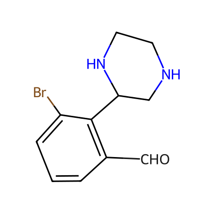 O=Cc1cccc(Br)c1C1CNCCN1